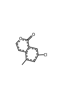 Cc1cc(Cl)cc2c(=O)occc12